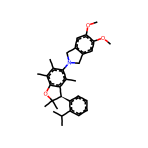 COc1cc2c(cc1OC)CN(c1c(C)c(C)c3c(c1C)[C@@H](c1ccccc1C(C)C)C(C)(C)O3)C2